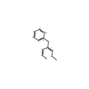 C/C=C\C(=C/CC)Cc1ccccn1